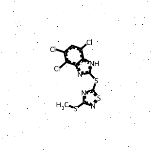 CSc1nsc(Sc2nc3c(Cl)c(Cl)cc(Cl)c3[nH]2)n1